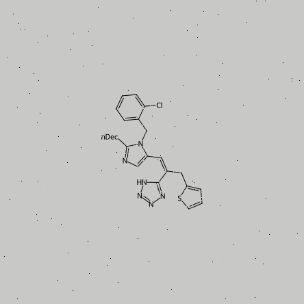 CCCCCCCCCCc1ncc(/C=C(/Cc2cccs2)c2nnn[nH]2)n1Cc1ccccc1Cl